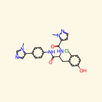 Cn1cncc1-c1ccc(NC(=O)C(Cc2cc(O)ccc2Cl)NC(=O)c2ccnn2C)cc1